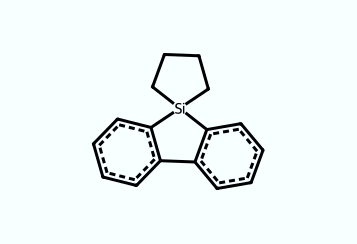 c1ccc2c(c1)-c1ccccc1[Si]21CCCC1